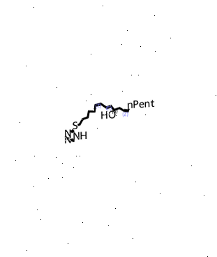 CCCCC/C=C\C[C@H](O)/C=C/C=C\CCCCCSc1nnc[nH]1